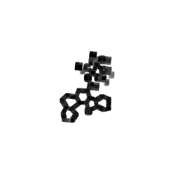 CC(C)(O)C(C)(C)OBC1=CC2=CC=C3C=CC=CC3C2C2Oc3ccccc3C12